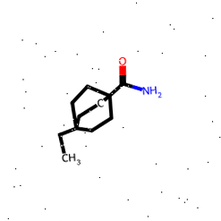 CCC12CCC(C(N)=O)(CC1)CC2